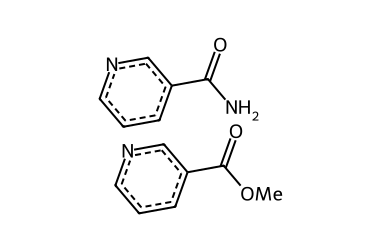 COC(=O)c1cccnc1.NC(=O)c1cccnc1